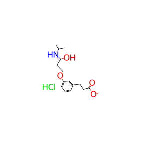 COC(=O)CCc1cccc(OCCC(O)NC(C)C)c1.Cl